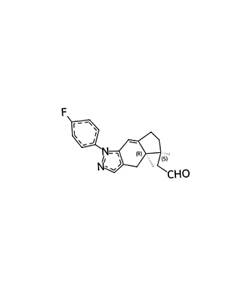 C[C@@]1(CC=O)CCC2=Cc3c(cnn3-c3ccc(F)cc3)C[C@@]21C